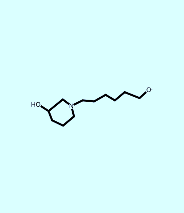 [O]CCCCCCN1CCCC(O)C1